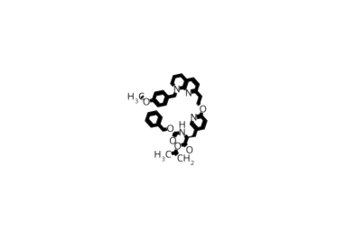 C=C(C)OC(=O)[C@H](Cc1ccc(OCCc2ccc3c(n2)N(Cc2ccc(OC)cc2)CCC3)nc1)NC(=O)OCc1ccccc1